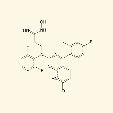 Cc1cc(F)ccc1-c1nc(N(CCC(=N)NO)c2c(F)cccc2F)nc2[nH]c(=O)ccc12